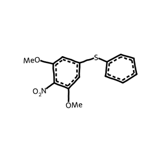 COc1cc(Sc2ccccc2)cc(OC)c1[N+](=O)[O-]